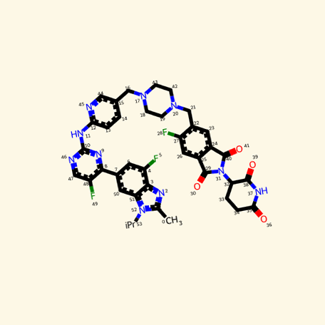 Cc1nc2c(F)cc(-c3nc(Nc4ccc(CN5CCN(Cc6cc7c(cc6F)C(=O)N(C6CCC(=O)NC6=O)C7=O)CC5)cn4)ncc3F)cc2n1C(C)C